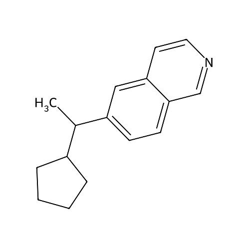 CC(c1ccc2cnccc2c1)C1CCCC1